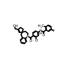 Cc1ccc(F)cc1C(=O)Nc1ccc(C(=O)N2CCC3(C=C(CO)CC3)Cc3ccccc32)c(Cl)c1